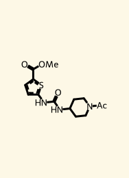 COC(=O)c1ccc(NC(=O)NC2CCN(C(C)=O)CC2)s1